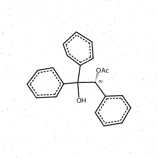 CC(=O)O[C@H](c1ccccc1)C(O)(c1ccccc1)c1ccccc1